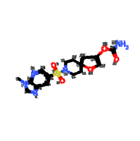 Cn1cnc2cc(S(=O)(=O)N3CCC4(CC3)C[C@@H](OC(N)=O)CO4)cnc21